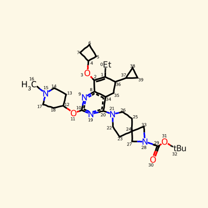 CCC1=C(OC2CCC2)c2nc(OC3CCN(C)CC3)nc(N3CCC4(CC3)CN(C(=O)OC(C)(C)C)C4)c2CC1C1CC1